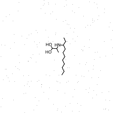 C[CH]C(CCCCCCCC)NC(C)C(O)O